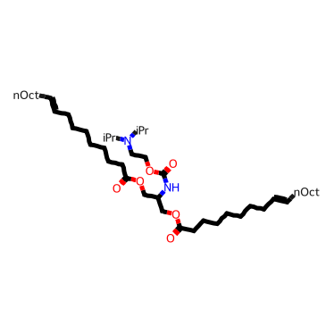 CCCCCCCCC=CCCCCCCCC(=O)OCC(COC(=O)CCCCCCCC=CCCCCCCCC)NC(=O)OCCN(C(C)C)C(C)C